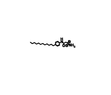 CCCCCCCCCCCCc1ccc(NC(=O)CS(N)(=O)=O)cc1